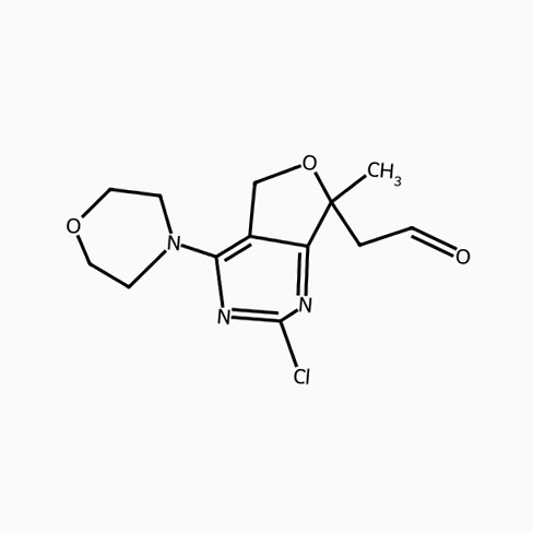 CC1(CC=O)OCc2c(N3CCOCC3)nc(Cl)nc21